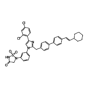 O=C1CN(c2cccc(-n3cc(-c4ccc(Cl)cc4Cl)nc3Cc3ccc(-c4ccc(C=CC5CCCCC5)cc4)cc3)c2)S(=O)(=O)N1